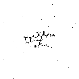 CCC/C=C/NC[C@H](O)[C@H](Cc1ccccc1)NC(=O)[C@@H](NC(C)=O)C(C)C